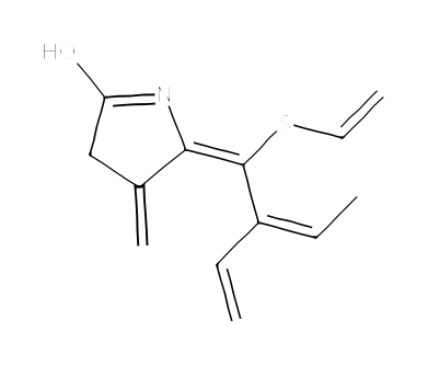 C=CSC(/C(C=C)=C\C)=C1\N=C(O)CC1=C